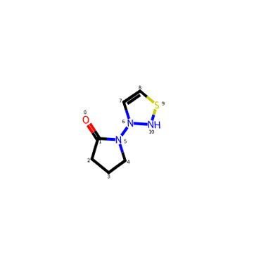 O=C1CCCN1N1C=CSN1